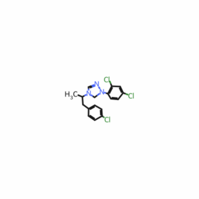 CC(Cc1ccc(Cl)cc1)N1C=NN(c2ccc(Cl)cc2Cl)C1